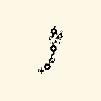 COCc1ccc(C)cc1N1C(=O)CS/C1=N\C(O)Nc1ccc(CCc2ncn(-c3ccc(OC(F)(F)F)cc3)n2)cc1